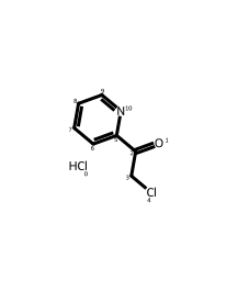 Cl.O=C(CCl)c1ccccn1